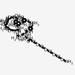 CO[C@H]1/C=C/O[C@@]2(C)Oc3c(C)c(O)c4c(=O)c(c5oc6cc(OCC[N+](C)(C)Cc7ccc(NC(=O)[C@H](CCCNC(N)=O)NC(=O)[C@@H](NC(=O)CCOCCOCCOCCOCCOCCOCCOCCOCCN)C(C)C)cc7)cc(O)c6nc-5c4c3C2=O)NC(=O)/C(C)=C\C=C\[C@H](C)[C@@H]2O[C@H]([C@H](O)[C@@H]2C)[C@H](OC(C)=O)[C@@H]1C